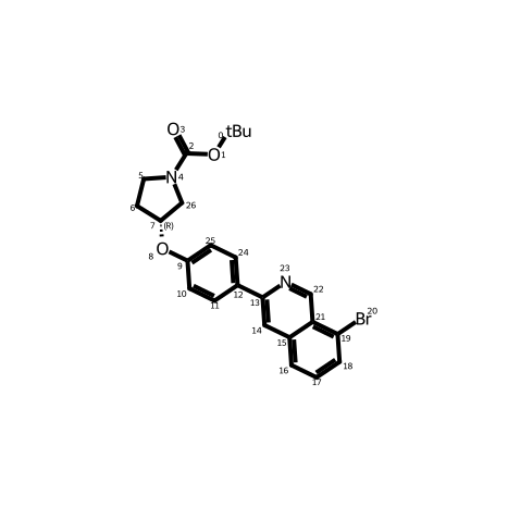 CC(C)(C)OC(=O)N1CC[C@@H](Oc2ccc(-c3cc4cccc(Br)c4cn3)cc2)C1